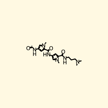 CN(C)CCCNC(=O)c1cc(NC(=O)c2cc(N[C]=O)cn2C)cn1C